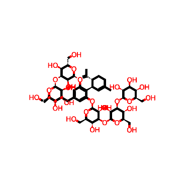 C=C(C)[C@@H]1CCC(C)=C[C@H]1c1c(O[C@H]2O[C@@H](CO)[C@H](O)[C@@H](O[C@H]3O[C@@H](CO)[C@H](O)[C@@H](O)[C@@H]3O)[C@@H]2O)cc(CCCCC)cc1O[C@@H]1O[C@H](CO)[C@@H](O)[C@H](O[C@@H]2O[C@H](CO)[C@@H](O)[C@H](O[C@@H]3O[C@H](CO)[C@@H](O)[C@H](O)[C@H]3O)[C@H]2O)[C@H]1O